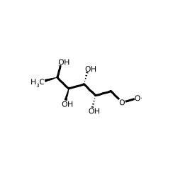 C[C@@H](O)[C@H](O)[C@H](O)[C@@H](O)CO[O]